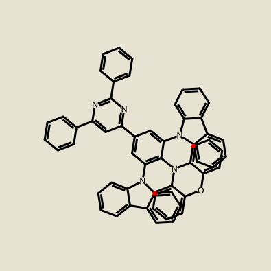 c1ccc(-c2cc(-c3cc(-n4c5ccccc5c5ccccc54)c(N4c5ccccc5Oc5ccccc54)c(-n4c5ccccc5c5ccccc54)c3)nc(-c3ccccc3)n2)cc1